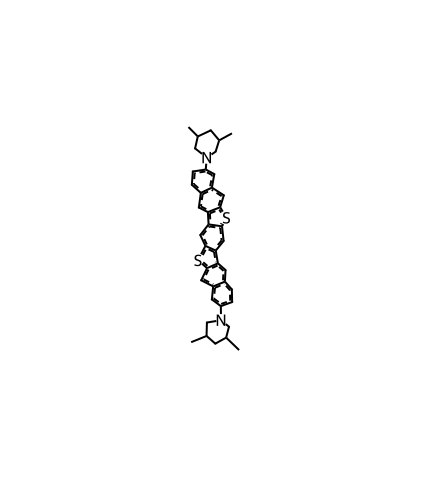 CC1CC(C)CN(c2ccc3cc4c(cc3c2)sc2cc3c(cc24)sc2cc4cc(N5CC(C)CC(C)C5)ccc4cc23)C1